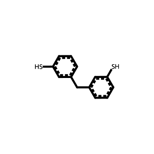 Sc1cccc(Cc2cccc(S)c2)c1